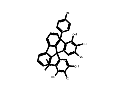 CC(C)c1c(C2(c3cc(O)c(O)c(O)c3Cc3ccc(O)cc3)c3ccccc3-c3ccccc32)cc(O)c(O)c1O